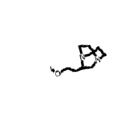 IOCCC1CN2CCC23CCN13